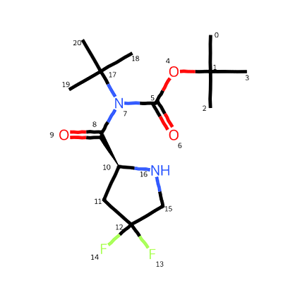 CC(C)(C)OC(=O)N(C(=O)[C@@H]1CC(F)(F)CN1)C(C)(C)C